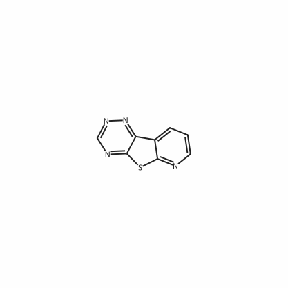 c1cnc2sc3ncnnc3c2c1